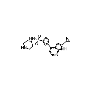 O=S(=O)(NC1CCNCC1)c1ccc(-c2ccnc3[nH]c(C4CC4)cc23)s1